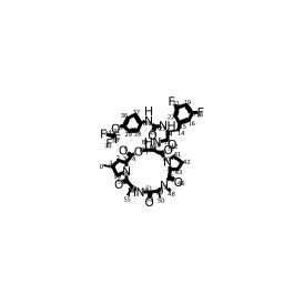 C[C@H]1CC2C(=O)O[C@@H](C)[C@H](NC(=O)[C@H](Cc3cc(F)cc(F)c3)NC(=O)Nc3ccc(OC(F)(F)F)cc3)C(=O)N3CCCC3C(=O)N(C)[C@@H](C)C(=O)N[C@@H](C)C(=O)N2C1